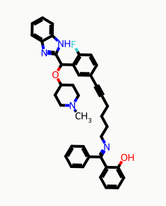 CN1CCC(OC(c2nc3ccccc3[nH]2)c2cc(C#CCCCC/N=C(\c3ccccc3)c3ccccc3O)ccc2F)CC1